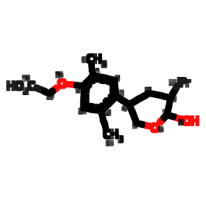 Cc1cc(C2COC(O)C(C(C)C)C2)c(C)cc1OCC(=O)O